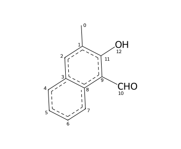 Cc1cc2ccccc2c(C=O)c1O